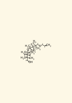 C=CCOCC(C)(C)C(F)(F)C(C)(C)OC(C)(C)C(F)(F)C(C)(C)CO